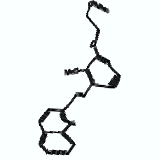 COCCOc1cccc(C=Cc2ccc3ccccc3n2)c1OC